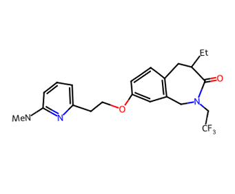 CCC1Cc2ccc(OCCc3cccc(NC)n3)cc2CN(CC(F)(F)F)C1=O